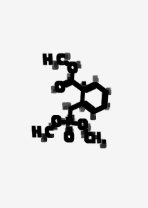 COC(=O)c1ccccc1CP(=O)(OC)OC